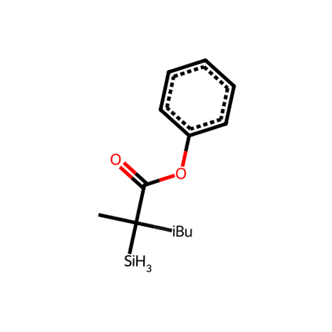 CCC(C)C(C)([SiH3])C(=O)Oc1ccccc1